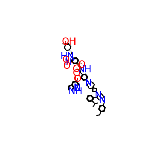 CCc1ccc(CN2CCN(C3CC4(CCN(c5ccc(C(=O)NS(=O)(=O)c6ccc(NC[C@H]7CC[C@](C)(O)CC7)c([N+](=O)[O-])c6)c(Oc6cnc7[nH]ccc7c6)c5)CC4)C3)C(c3ccccc3C(C)C)C2)cc1